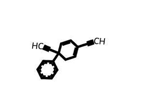 C#CC1=CCC(C#C)(c2ccccc2)C=C1